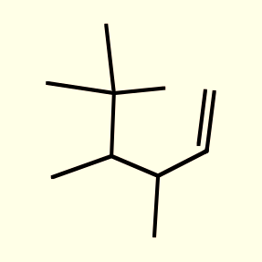 C=CC(C)C(C)C(C)(C)C